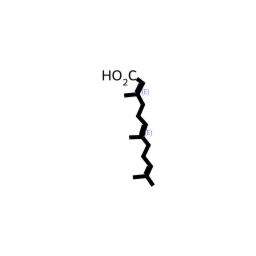 CC(C)=CCC/C(C)=C/CC/C(C)=C/C(=O)O